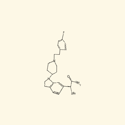 CCCC(C(N)=O)c1ccc2c(c1)N(C1CCN(CCc3ccc(F)cc3)CC1)CC2